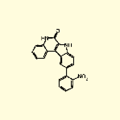 O=c1[nH]c2ccccc2c2c1[nH]c1ccc(-c3ccccc3[N+](=O)[O-])cc12